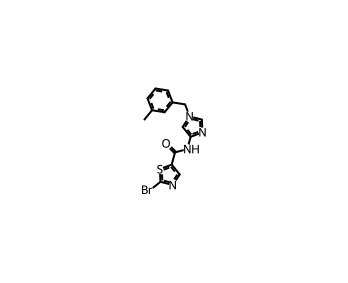 Cc1cccc(Cn2cnc(NC(=O)c3cnc(Br)s3)c2)c1